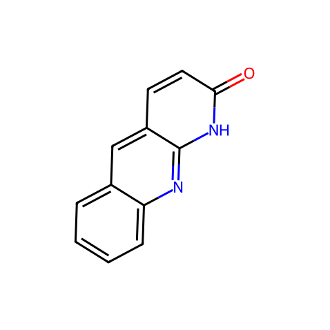 O=c1ccc2cc3ccccc3nc2[nH]1